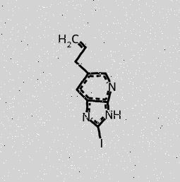 C=CCc1cnc2[nH]c(I)nc2c1